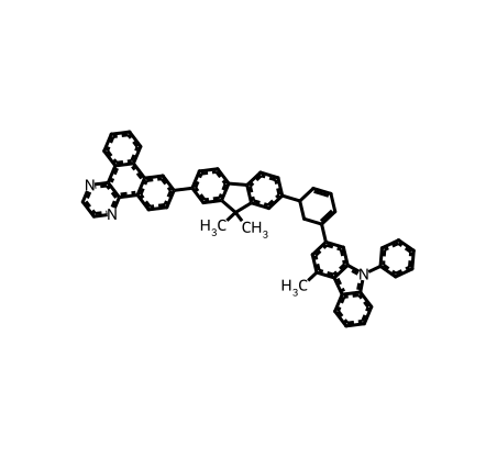 Cc1cc(C2=CC=CC(c3ccc4c(c3)C(C)(C)c3cc(-c5ccc6c(c5)c5ccccc5c5nccnc65)ccc3-4)C2)cc2c1c1ccccc1n2-c1ccccc1